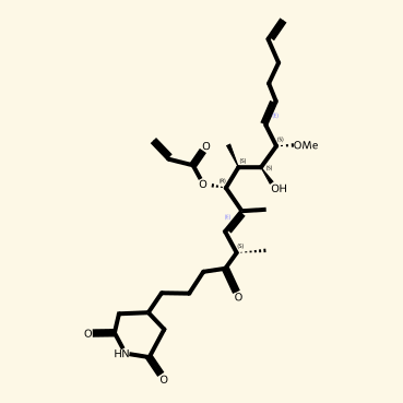 C=CCC/C=C/[C@H](OC)[C@@H](O)[C@H](C)[C@@H](OC(=O)C=C)/C(C)=C/[C@H](C)C(=O)CCCC1CC(=O)NC(=O)C1